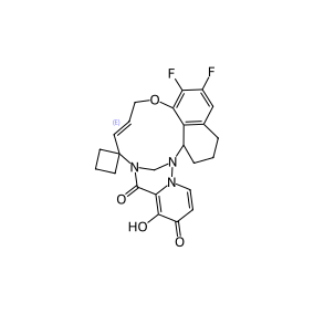 O=C1c2c(O)c(=O)ccn2N2CN1C1(/C=C/COc3c(F)c(F)cc4c3C2CCC4)CCC1